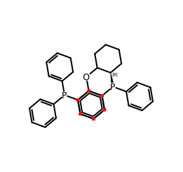 C1=CCCC(P(c2ccccc2)c2ccccc2OC2CCCC[C@H]2P(c2ccccc2)c2ccccc2)=C1